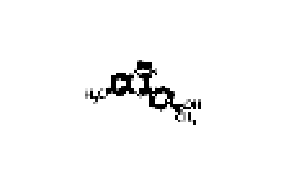 CB(O)N1CCN(c2nc3cc(C)ccc3n3ccnc23)CC1